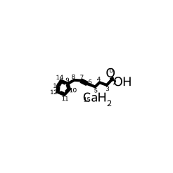 O=C(O)CCCC#CCc1ccccc1.[CaH2]